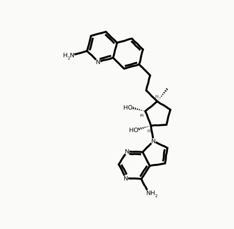 C[C@]1(CCc2ccc3ccc(N)nc3c2)CC[C@@](O)(n2ccc3c(N)ncnc32)[C@@H]1O